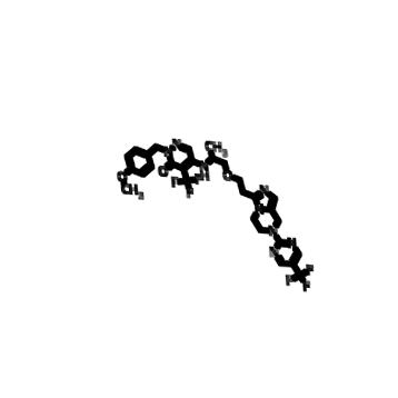 COc1ccc(Cn2ncc(NC(C)COCCc3ncc4n3CCN(c3ncc(C(F)(F)F)cn3)C4)c(C(F)(F)F)c2=O)cc1